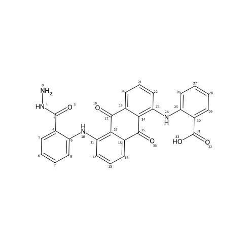 NNC(=O)c1ccccc1Nc1cccc2c1C(=O)c1cccc(Nc3ccccc3C(=O)O)c1C2=O